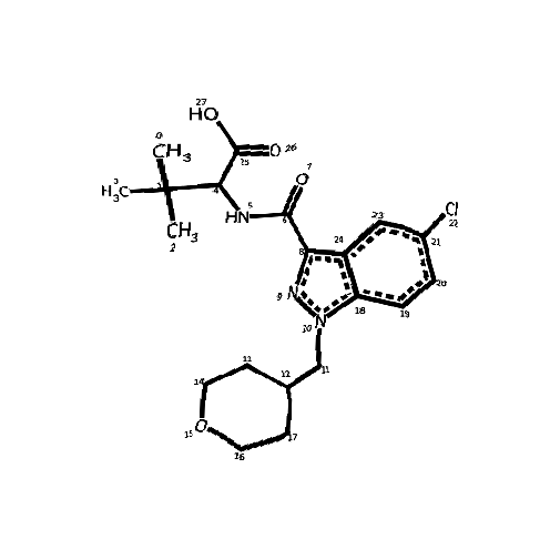 CC(C)(C)C(NC(=O)c1nn(CC2CCOCC2)c2ccc(Cl)cc12)C(=O)O